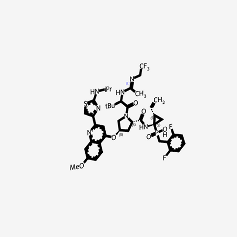 C=C[C@@H]1C[C@]1(NC(=O)[C@@H]1C[C@@H](Oc2cc(-c3csc(NC(C)C)n3)nc3cc(OC)ccc23)CN1C(=O)C(N/C(C)=N/CC(F)(F)F)C(C)(C)C)P(=O)(O)Cc1c(F)cccc1F